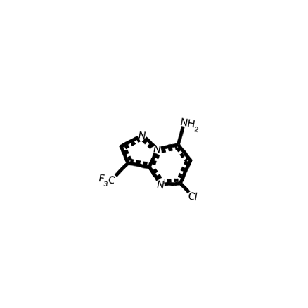 Nc1cc(Cl)nc2c(C(F)(F)F)cnn12